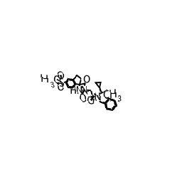 CC(C1CC1)N(Cc1ccccc1)C(=O)CN1C(=O)NC2(CCc3cc(S(C)(=O)=O)ccc32)C1=O